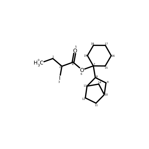 CCC(I)C(=O)OC1(C2CC3CCC2C3)CCCCC1